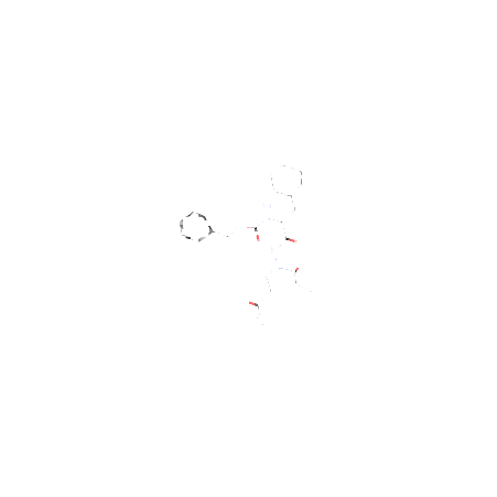 NC(=O)CCN(NC(=O)[C@H](CC1CCCCC1)NC(=O)OCc1ccccc1)C(=O)CF